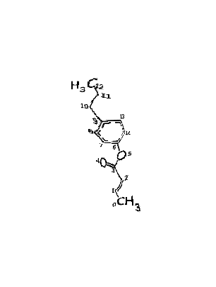 CC=CC(=O)Oc1ccc(CCC)cc1